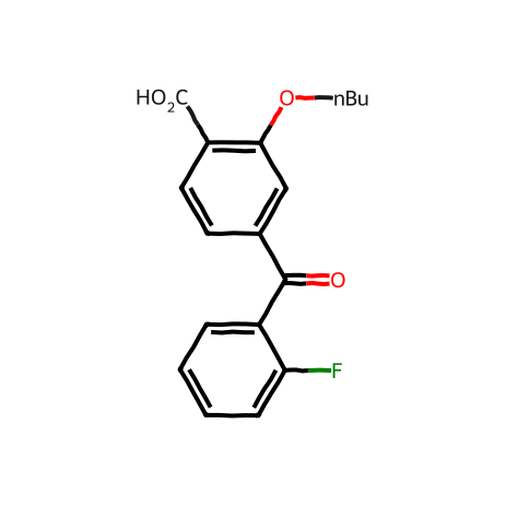 CCCCOc1cc(C(=O)c2ccccc2F)ccc1C(=O)O